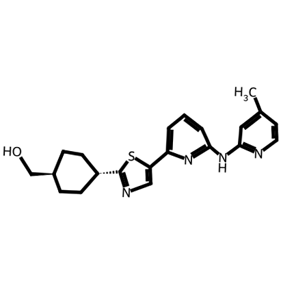 Cc1ccnc(Nc2cccc(-c3cnc([C@H]4CC[C@H](CO)CC4)s3)n2)c1